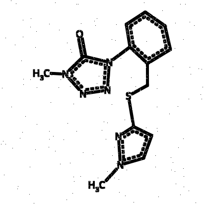 Cn1ccc(SCc2ccccc2-n2nnn(C)c2=O)n1